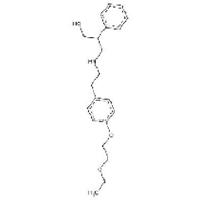 CCOCCOc1ccc(CCNCC(CO)c2ccccc2)cc1